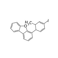 CC1C=C(I)C=CC1c1cccc2c1oc1ccccc12